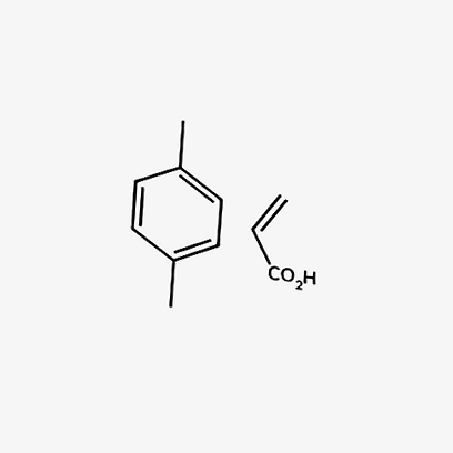 C=CC(=O)O.Cc1ccc(C)cc1